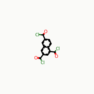 O=C(Cl)c1ccc2c(C(=O)Cl)cc(C(=O)Cl)cc2c1